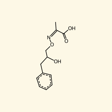 CC(=NOCC(O)Cc1ccccc1)C(=O)O